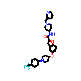 O=C(NC1CCN(Cc2cccnc2)CC1)C1Cc2cc(OC3CCN(c4ccc(C(F)(F)F)cc4)CC3)ccc2O1